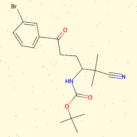 CC(C)(C)OC(=O)NC(CCC(=O)c1cccc(Br)c1)C(C)(C)C#N